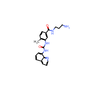 Cc1ccc(C(=O)NCCCN)cc1NC(=O)Nc1cccc2cccnc12